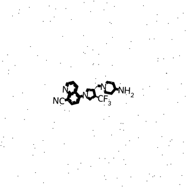 N#Cc1ccc(N2C[C@H](CN3CCC(N)CC3)[C@@H](C(F)(F)F)C2)c2cccnc12